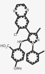 COc1ccc(Nc2c(-c3cc4nccnc4cc3Cl)c(C)nn2-c2ccccc2C)c(C(=O)O)c1